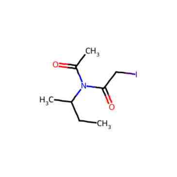 CCC(C)N(C(C)=O)C(=O)CI